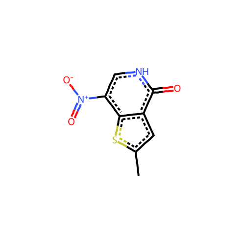 Cc1cc2c(=O)[nH]cc([N+](=O)[O-])c2s1